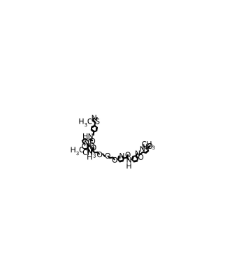 Cc1ncsc1-c1ccc(CNC(=O)[C@@H]2CCCN2C(=O)C(NC(=O)CCOCCOCCOc2ccc(C(=O)Nc3ccc4oc(-c5ccc(=O)n(C)n5)nc4c3)nc2)C(C)(C)C)cc1